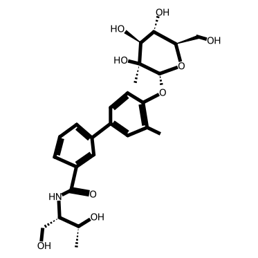 Cc1cc(-c2cccc(C(=O)N[C@@H](CO)[C@@H](C)O)c2)ccc1O[C@H]1O[C@H](CO)[C@@H](O)[C@H](O)[C@]1(C)O